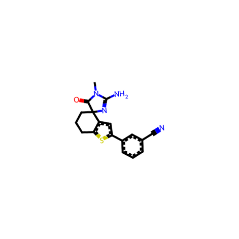 CN1C(=O)C2(CCCc3sc(-c4cccc(C#N)c4)cc32)N=C1N